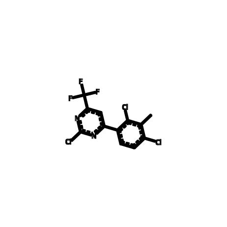 Cc1c(Cl)ccc(-c2cc(C(F)(F)F)nc(Cl)n2)c1Cl